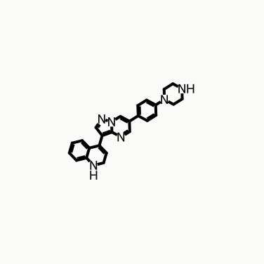 C1=C(c2cnn3cc(-c4ccc(N5CCNCC5)cc4)cnc23)c2ccccc2NC1